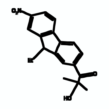 CCC1c2cc(C(=O)C(C)(C)O)ccc2-c2ccc([N+](=O)[O-])cc21